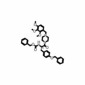 COc1ccc(CN2CCN(C(=O)[C@@H](Cc3ccc(OCc4ccccc4)cc3)NC(=O)OCc3ccccc3)CC2)c(OC)c1OC